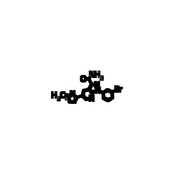 Cn1ccc(-c2cnc3c(c2)c(C(N)=O)nn3-c2cccc(Br)c2)n1